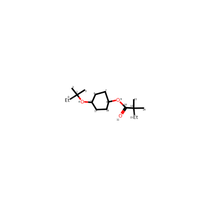 CCC(C)(C)OC1CCC(OC(=O)C(C)(C)CC)CC1